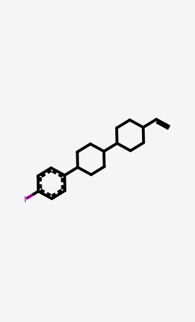 C=CC1CCC(C2CCC(c3ccc(I)cc3)CC2)CC1